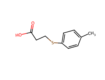 Cc1ccc(SCCC(=O)O)cc1